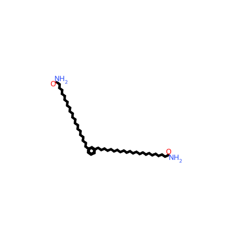 NC(=O)CCCCCCCCCCCCCCCCCCCCCCc1cccc(CCCCCCCCCCCCCCCCCCCCCCC(N)=O)c1